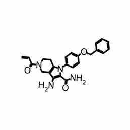 C=CC(=O)N1CCc2c(c(N)c(C(N)=O)n2-c2ccc(OCc3ccccc3)cc2)C1